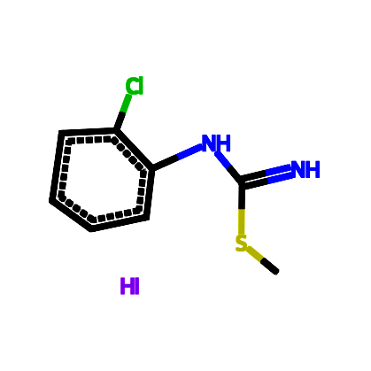 CSC(=N)Nc1ccccc1Cl.I